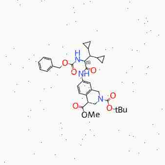 COC(=O)C1CN(C(=O)OC(C)(C)C)Cc2cc(NC(=O)[C@@H](NC(=O)OCc3ccccc3)C(C3CC3)C3CC3)ccc21